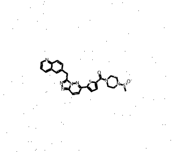 C[S+]([O-])N1CCN(C(=O)c2ccc(-c3ccc4nnc(Cc5ccc6ncccc6c5)n4n3)s2)CC1